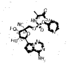 COC(=O)[C@H](C)NP(=O)(OC[C@@]1(C#N)O[C@@H](c2ccc3c(N)ncnn23)[C@H](O)[C@@H]1O)Oc1cccnc1